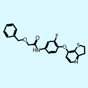 O=C(COCc1ccccc1)Nc1ccc(Oc2ccnc3c2SCC3)c(F)c1